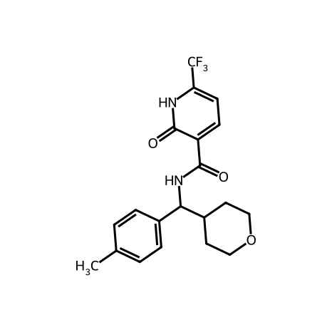 Cc1ccc(C(NC(=O)c2ccc(C(F)(F)F)[nH]c2=O)C2CCOCC2)cc1